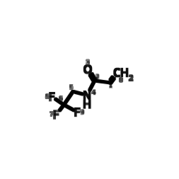 C=CC(=O)NCC(F)(F)F